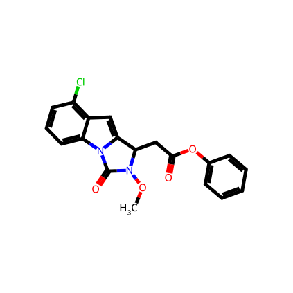 CON1C(=O)n2c(cc3c(Cl)cccc32)C1CC(=O)Oc1ccccc1